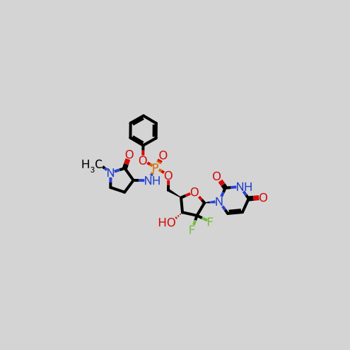 CN1CCC(NP(=O)(OC[C@H]2O[C@@H](n3ccc(=O)[nH]c3=O)C(F)(F)[C@@H]2O)Oc2ccccc2)C1=O